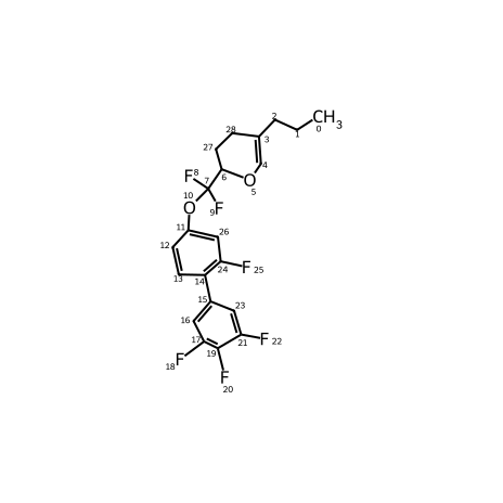 CCCC1=COC(C(F)(F)Oc2ccc(-c3cc(F)c(F)c(F)c3)c(F)c2)CC1